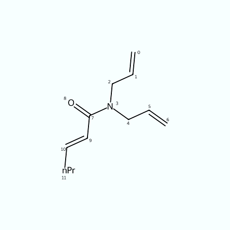 C=CCN(CC=C)C(=O)C=CCCC